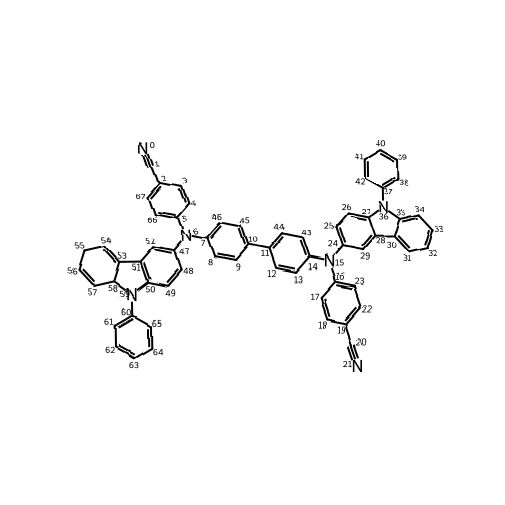 N#Cc1ccc(N(c2ccc(-c3ccc(N(c4ccc(C#N)cc4)c4ccc5c(c4)c4ccccc4n5-c4ccccc4)cc3)cc2)c2ccc3c(c2)C2=CCC=CC2N3c2ccccc2)cc1